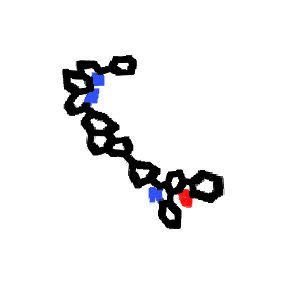 c1ccc(-c2ccc3ccc4ccc(-c5ccc6c(ccc7cc(-c8ccc(-c9nc%10ccccc%10c%10c9CCc9c-%10oc%10ccccc9%10)cc8)ccc76)c5)nc4c3n2)cc1